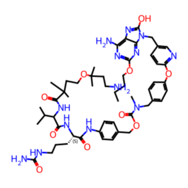 CCCCOc1nc(N)c2nc(O)n(Cc3ccc(Oc4ccc(CN(C)C(=O)OCc5ccc(NC(=O)[C@H](CCCNC(N)=O)NC(=O)C(NC(=O)C(C)(C)CCOC(C)(C)CCN)C(C)C)cc5)cc4)nc3)c2n1